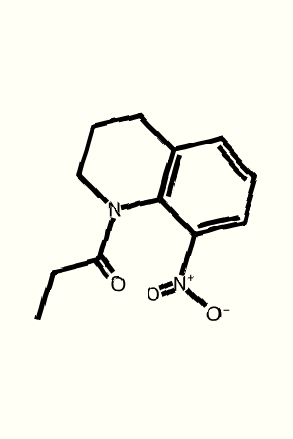 CCC(=O)N1CCCc2cccc([N+](=O)[O-])c21